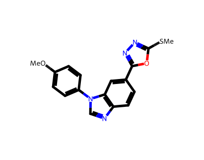 COc1ccc(-n2cnc3ccc(-c4nnc(SC)o4)cc32)cc1